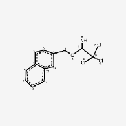 N=C(OCc1ccc2ccccc2c1)C(Cl)(Cl)Cl